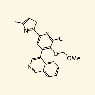 COCOc1c(-c2cncc3ccccc23)cc(-c2nc(C)cs2)nc1Cl